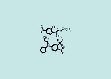 C=CCN(c1ccc([N+](=O)[O-])c(C(F)(F)F)c1)C1CCCC1.COCCN(C)c1ccc([N+](=O)[O-])cc1C